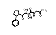 NC(=O)CNC(=O)[C@H](O)[C@@H](O)C(=O)N1CCCC1c1ccccc1